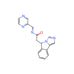 O=C(CC1c2ccccc2-c2cncn21)N=Cc1cnccn1